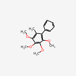 COc1c(C)c(-c2ccccc2)c(OC)c(OC)c1OC